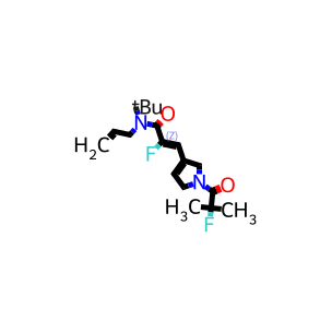 C=CCN(C(=O)/C(F)=C/C1=CCN(C(=O)C(C)(C)F)C1)C(C)(C)C